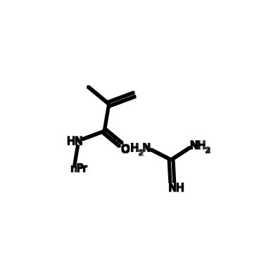 C=C(C)C(=O)NCCC.N=C(N)N